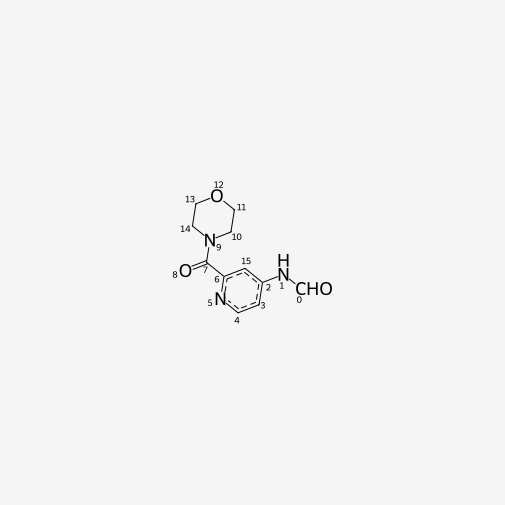 O=CNc1ccnc(C(=O)N2CCOCC2)c1